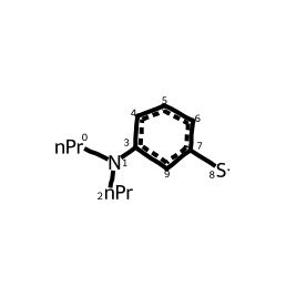 CCCN(CCC)c1cccc([S])c1